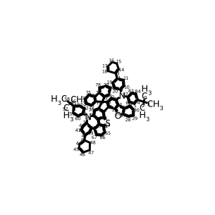 CC(C)(C)c1ccc(N(c2ccc(C3=CCCC=C3)cc2)c2cc3c(c4oc5ccccc5c24)-c2c(cc(N(c4ccc(C5=CC=CCC5)cc4)c4ccc(C(C)(C)C)cc4)c4c2sc2ccccc24)C32c3ccccc3-c3ccccc32)cc1